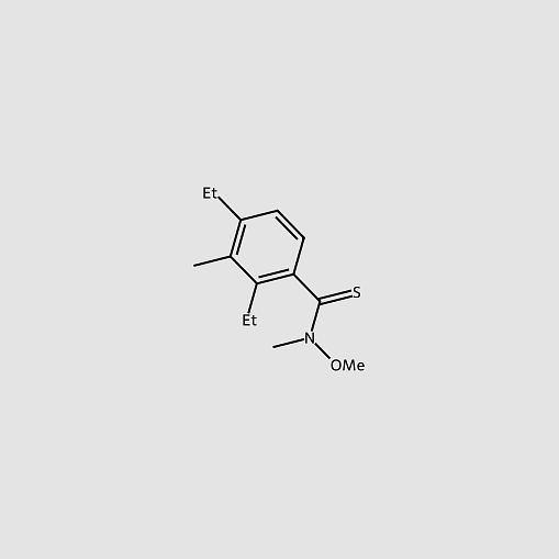 CCc1ccc(C(=S)N(C)OC)c(CC)c1C